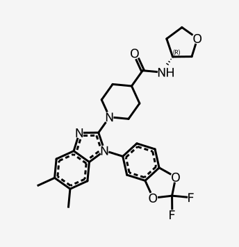 Cc1cc2nc(N3CCC(C(=O)N[C@@H]4CCOC4)CC3)n(-c3ccc4c(c3)OC(F)(F)O4)c2cc1C